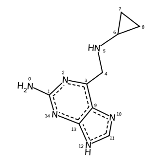 Nc1nc(CNC2CC2)c2nc[nH]c2n1